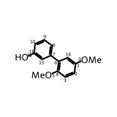 COc1c[c]c(OC)c(-c2cccc(O)c2)c1